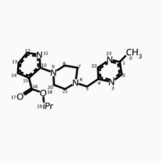 Cc1cnc(CN2CCN(c3ncccc3C(=O)OC(C)C)CC2)cn1